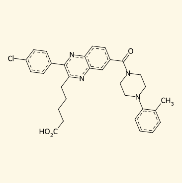 Cc1ccccc1N1CCN(C(=O)c2ccc3nc(-c4ccc(Cl)cc4)c(CCCCC(=O)O)nc3c2)CC1